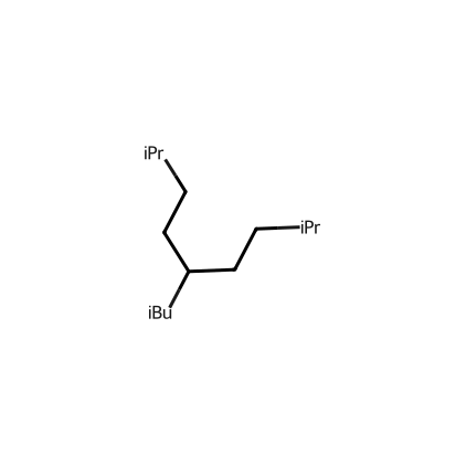 [CH2]CC(C)C(CCC(C)C)CCC(C)C